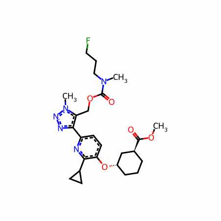 COC(=O)[C@H]1CCC[C@H](Oc2ccc(-c3nnn(C)c3COC(=O)N(C)CCCF)nc2C2CC2)C1